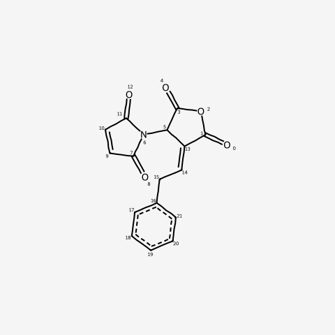 O=C1OC(=O)C(N2C(=O)C=CC2=O)C1=CCc1ccccc1